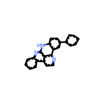 c1ccc(-c2ccc3c(c2)-c2nccc4c2c(nc2ccccc24)N3)cc1